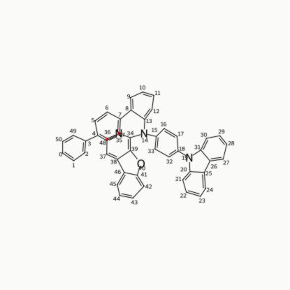 c1ccc(-c2ccc(-c3ccccc3N(c3ccc(-n4c5ccccc5c5ccccc54)cc3)c3nccc4c3oc3ccccc34)cc2)cc1